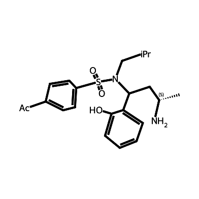 CC(=O)c1ccc(S(=O)(=O)N(CC(C)C)C(C[C@H](C)N)c2ccccc2O)cc1